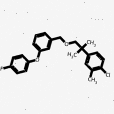 Cc1cc(C(C)(C)COCc2cccc(Oc3ccc(F)cc3)c2)ccc1Cl